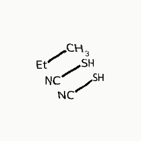 CCC.N#CS.N#CS